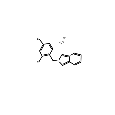 Clc1ccc(Cn2cc3cccc[n+]3c2)c(Cl)c1.O.[Cl-]